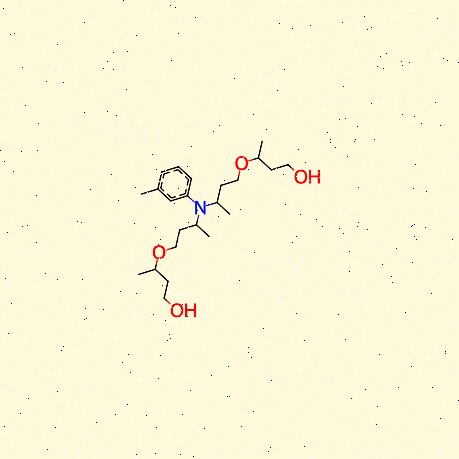 Cc1cccc(N(C(C)CCOC(C)CCO)C(C)CCOC(C)CCO)c1